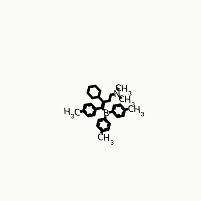 Cc1ccc(B(/C(=C(\CCN(C)C)C2CCCCC2)c2ccc(C)cc2)c2ccc(C)cc2)cc1